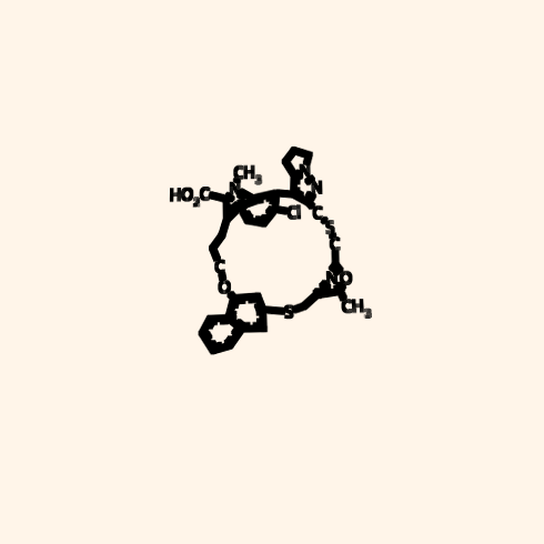 Cc1oc2nc1CSc1cc(c3ccccc3c1)OCCCc1c(C(=O)O)n(C)c3c(c(Cl)ccc13)-c1c(nn3c1CCC3)CSC2